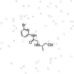 C[C@H](CO)NCC(=O)Nc1cccc(Br)n1